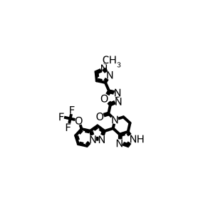 Cn1ccc(-c2nnc(C(=O)N3CCc4[nH]cnc4C3c3cc4c(OC(F)(F)F)cccn4n3)o2)n1